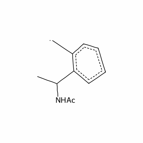 [CH2]c1ccccc1C(C)NC(C)=O